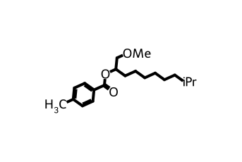 COCC(CCCCCCC(C)C)OC(=O)c1ccc(C)cc1